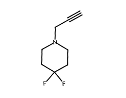 C#CCN1CCC(F)(F)CC1